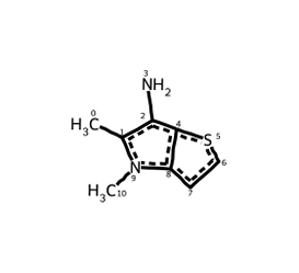 Cc1c(N)c2sccc2n1C